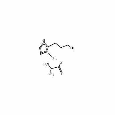 CCCCc1[nH]cc[n+]1C.C[C@H](N)C(=O)[O-]